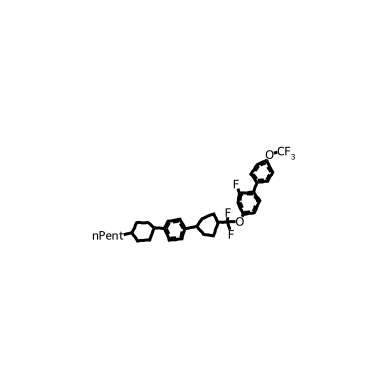 CCCCCC1CCC(c2ccc(C3CCC(C(F)(F)Oc4ccc(-c5ccc(OC(F)(F)F)cc5)c(F)c4)CC3)cc2)CC1